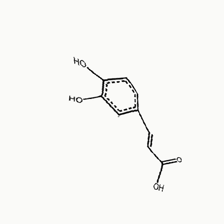 O=C(O)C=Cc1[c]c(O)c(O)cc1